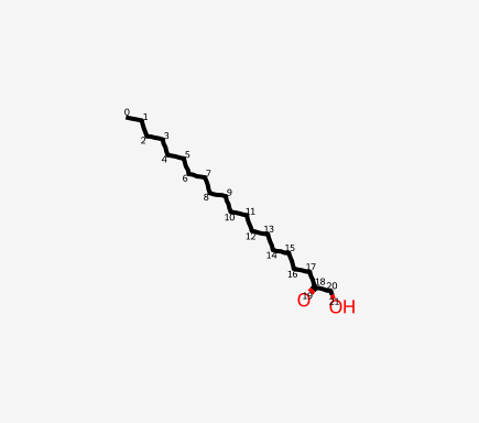 CCCCCCCCCCCCCCCCCCC(=O)CO